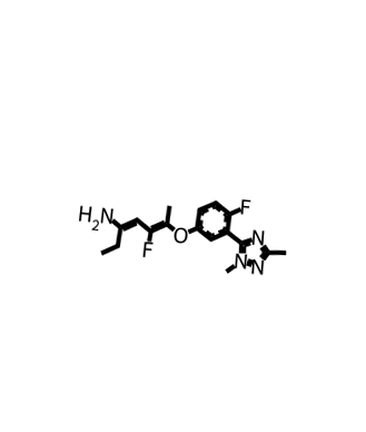 CC/C(N)=C\C(F)=C(/C)Oc1ccc(F)c(-c2nc(C)nn2C)c1